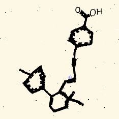 Cc1ccc(C2=CCCC(C)(C)C2/C=C/C#Cc2ccc(C(=O)O)cc2)cc1